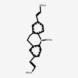 CCCCC/C=C/c1ccc2c(c1)CCc1cc(/C=C/CCCCC)ccc1N2CCCCCC